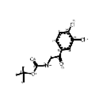 CC(C)(C)OC(=O)NCC(=O)c1ccc(Cl)c(Cl)c1